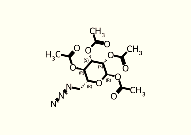 CC(=O)O[C@H]1O[C@H](CN=[N+]=[N-])[C@@H](OC(C)=O)[C@H](OC(C)=O)[C@@H]1OC(C)=O